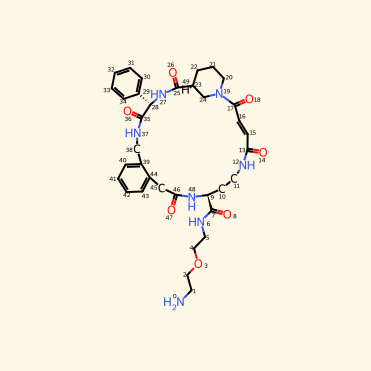 NCCOCCNC(=O)[C@@H]1CCNC(=O)/C=C/C(=O)N2CCC[C@H](C2)C(=O)N[C@@H](c2ccccc2)C(=O)NCc2ccccc2CC(=O)N1